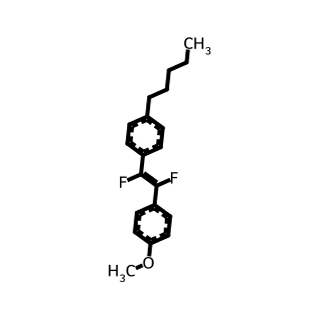 CCCCCc1ccc(/C(F)=C(\F)c2ccc(OC)cc2)cc1